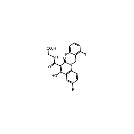 O=C(O)CNC(=O)c1c(O)c2cc(F)ccc2n(Cc2c(F)cccc2F)c1=O